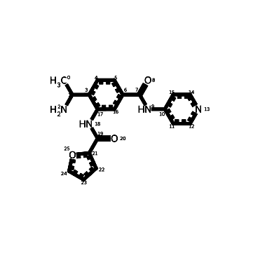 CC(N)c1ccc(C(=O)Nc2ccncc2)cc1NC(=O)c1ccco1